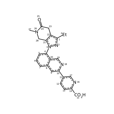 CCc1nn(-c2cccc3cc(-c4ccc(C(=O)O)nc4)ncc23)c2c1CC(=O)N(C)C2